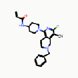 C=CC(=O)NC1CCN(c2nc(Cl)c(C#N)c3c2CCN(Cc2ccccc2)C3)CC1